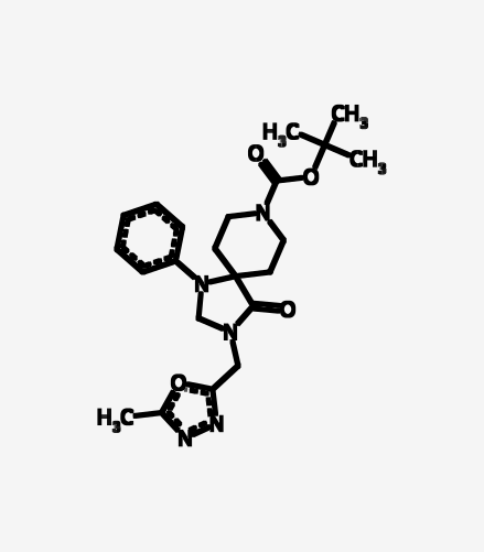 Cc1nnc(CN2CN(c3ccccc3)C3(CCN(C(=O)OC(C)(C)C)CC3)C2=O)o1